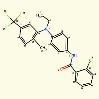 CCN(c1ccc(NC(=O)c2ccccc2Cl)cc1)c1cc(C(F)(F)F)ccc1C